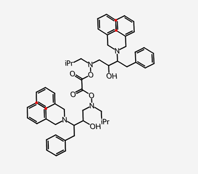 CC(C)CN(CC(O)C(Cc1ccccc1)N(Cc1ccccc1)Cc1ccccc1)OC(=O)C(=O)ON(CC(C)C)CC(O)C(Cc1ccccc1)N(Cc1ccccc1)Cc1ccccc1